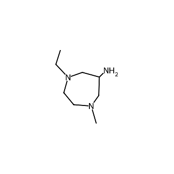 CCN1CCN(C)CC(N)C1